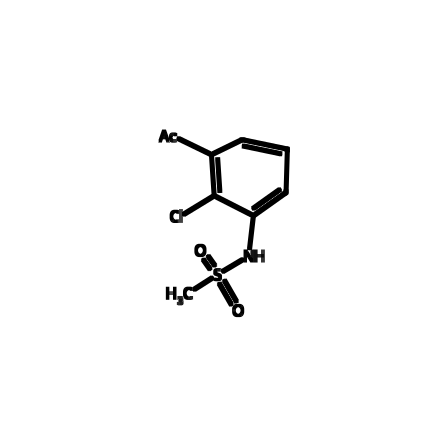 CC(=O)c1cccc(NS(C)(=O)=O)c1Cl